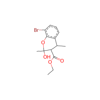 CCOC(=O)C1C(C)c2cccc(Br)c2OC1(C)O